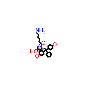 COc1ccc(C(C[C@@H]2C[C@@H](O)CN2C(=O)CCCCCN)(c2ccccc2)c2ccc(OC)cc2)cc1